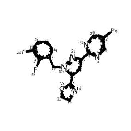 Fc1cnc(-c2cc(-c3ncco3)n(Cc3cccc(F)c3F)n2)nc1